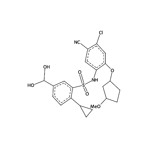 COC1CCC(Oc2cc(Cl)c(C#N)cc2NS(=O)(=O)c2cc(C(O)O)ccc2C2CC2)C1